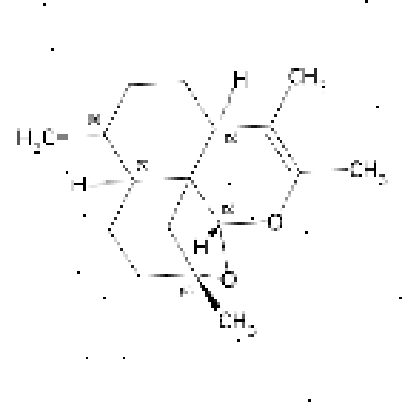 CC1=C(C)[C@@H]2CC[C@@H](C)[C@@H]3CC[C@]4(C)CC23[C@H](O1)O4